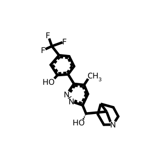 Cc1cc([C@@H](O)C2CN3CCC2CC3)nnc1-c1ccc(C(F)(F)F)cc1O